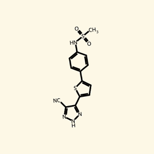 CS(=O)(=O)Nc1ccc(-c2ccc(-c3n[nH]nc3C#N)s2)cc1